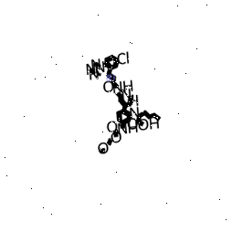 CCCCC(Nc1cc(NC(=O)OCCOC)ccc1-c1ccnc(CNC(=O)/C=C/c2cc(Cl)ccc2-n2cnnn2)c1)C(=O)O